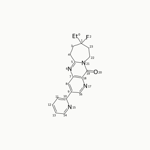 CCC1(F)CCc2nc3cc(-c4ccccn4)cnc3c(=O)n2CC1